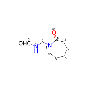 O=CNCN1CCCCCC1=O